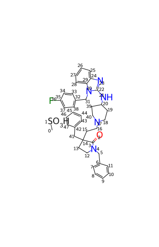 CS(=O)(=O)O.O=C1N(Cc2ccccc2)CCC1(CCN1CCC(Nc2nc3ccccc3n2Cc2ccc(F)cc2)CC1)Cc1ccccc1